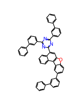 c1ccc(-c2cccc(-c3ccc4oc5cc(-c6nc(-c7cccc(-c8ccccc8)c7)nc(-c7cccc(-c8ccccc8)c7)n6)c6ccccc6c5c4c3)c2)cc1